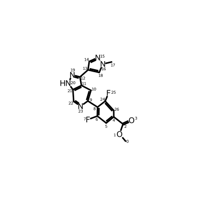 COC(=O)c1cc(F)c(-c2cc3c(-c4cnn(C)c4)n[nH]c3cn2)c(F)c1